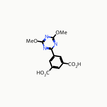 COc1nc(OC)nc(-c2cc(C(=O)O)cc(C(=O)O)c2)n1